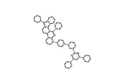 c1ccc(-c2cc(-c3ccccc3)nc(-c3cccc(-c4ccc(-c5cccc6c5nc(-c5ccccc5)c5c6ccc6c5c5ccccc5n6-c5ccccc5)cc4)c3)n2)cc1